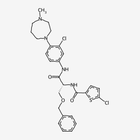 CN1CCCN(c2ccc(NC(=O)[C@@H](COCc3ccccc3)NC(=O)c3ccc(Cl)s3)cc2Cl)CC1